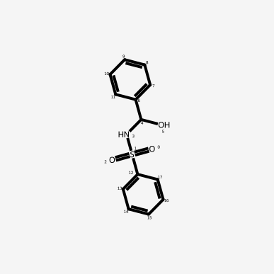 O=S(=O)(NC(O)c1ccccc1)c1ccccc1